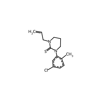 C=CCN1CCCN(c2cc(Cl)ccc2C)C1=S